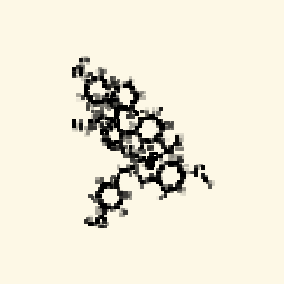 COc1ccc(CN(Cc2ccc(OC)cc2)S(=O)(=O)c2c(C(F)(F)F)ccc(-c3cccc4c3CC(N)C4)c2-c2nnnn2Cc2ccc(OC)cc2)cc1